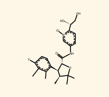 Cc1c(F)ccc([C@H]2[C@H](C(=O)Nc3ccc([C@H](O)CO)[n+]([O-])c3)OC(C)(C)[C@H]2C)c1C